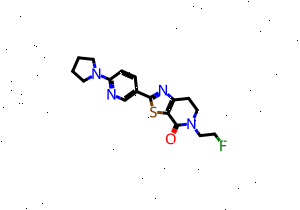 O=C1c2sc(-c3ccc(N4CCCC4)nc3)nc2CCN1CCF